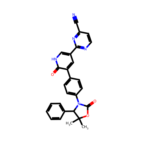 CC1(C)OC(=O)N(c2ccc(-c3cc(-c4nccc(C#N)n4)c[nH]c3=O)cc2)C1c1ccccc1